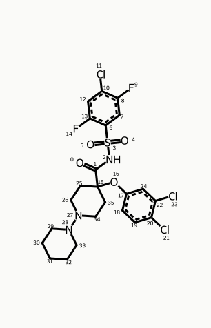 O=C(NS(=O)(=O)c1cc(F)c(Cl)cc1F)C1(Oc2ccc(Cl)c(Cl)c2)CCN(N2CCCCC2)CC1